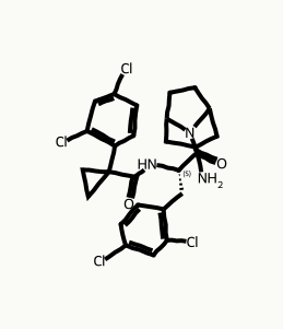 NC1CC2CCC(C1)N2C(=O)[C@H](Cc1ccc(Cl)cc1Cl)NC(=O)C1(c2ccc(Cl)cc2Cl)CC1